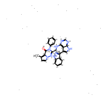 Cc1ccn2nc(C(C)Nc3ncnc4[nH]cc(-c5n[nH]c6ccccc56)c34)n(-c3ccccc3)c(=O)c12